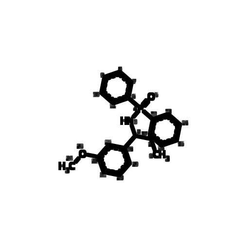 CCC(NP(=O)(c1ccccc1)c1ccccc1)c1cccc(OC)c1